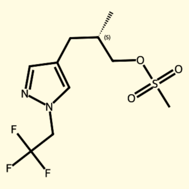 C[C@H](COS(C)(=O)=O)Cc1cnn(CC(F)(F)F)c1